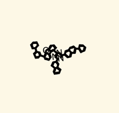 C1=CCC(c2cccc(-c3cccc4c3oc3cccc(-c5nc(-c6ccc7ccccc7c6)nc(-c6ccc7cc(-c8ccccc8)ccc7c6)n5)c34)c2)C=C1